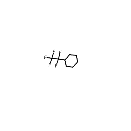 FC(F)(F)C(F)(F)C1CCCCC1